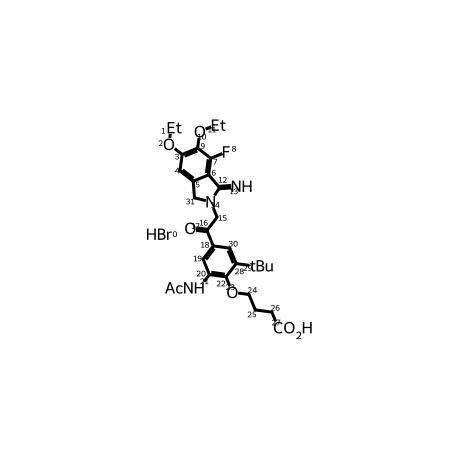 Br.CCOc1cc2c(c(F)c1OCC)C(=N)N(CC(=O)c1cc(NC(C)=O)c(OCCCC(=O)O)c(C(C)(C)C)c1)C2